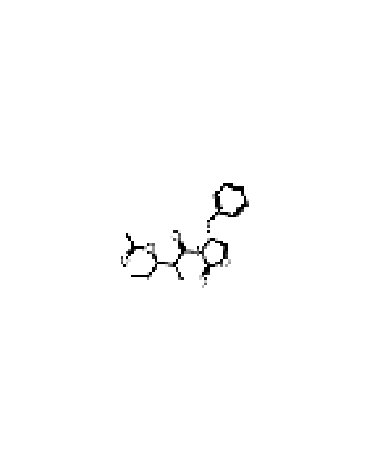 CCC(OC(C)=O)[C@H](C)C(=O)N1C(=O)OC[C@H]1Cc1ccccc1